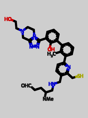 CNC(CCC=O)CNCc1ccc(-c2cccc(-c3cccc(-c4nnc5n4CCN(CCO)C5)c3O)c2C)nc1CS